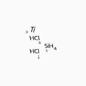 Cl.Cl.[SiH4].[Ti]